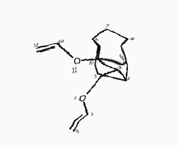 C=COC1C2CC3CCC2C31OC=C